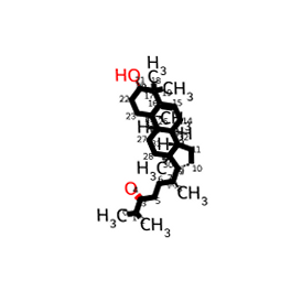 CC(C)C(=O)CC[C@@H](C)[C@H]1CC[C@H]2[C@@H]3CC=C4C(C)(C)[C@@H](O)CC[C@]4(C)[C@H]3CC[C@]12C